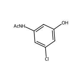 CC(=O)Nc1cc(O)cc(Cl)c1